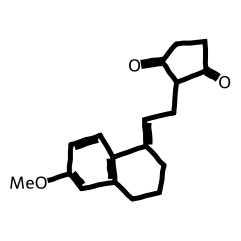 COc1ccc2c(c1)CCCC2=CCC1C(=O)CCC1=O